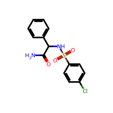 NC(=O)C(NS(=O)(=O)c1ccc(Cl)cc1)c1ccccc1